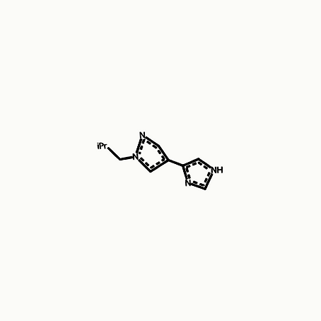 CC(C)Cn1cc(-c2c[nH]cn2)cn1